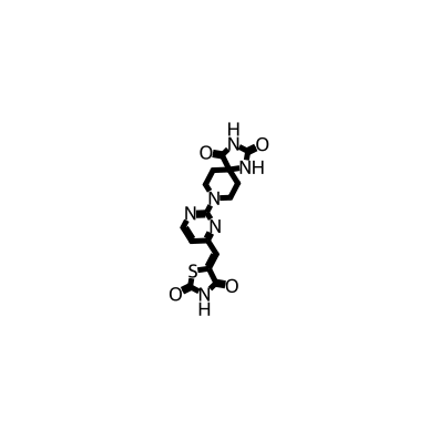 O=C1NC(=O)C2(CCN(c3nccc(/C=C4\SC(=O)NC4=O)n3)CC2)N1